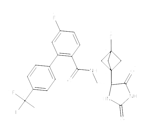 O=C1NC(=O)[C@](CNC(=O)c2ccc(F)cc2-c2ccc(C(F)(F)F)cc2)(C23CC(F)(C2)C3)N1